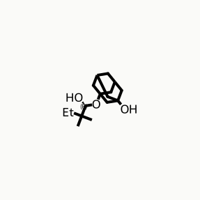 CCC(C)(C)[C@H](O)OC12CC3CC(CC(O)(C3)C1)C2